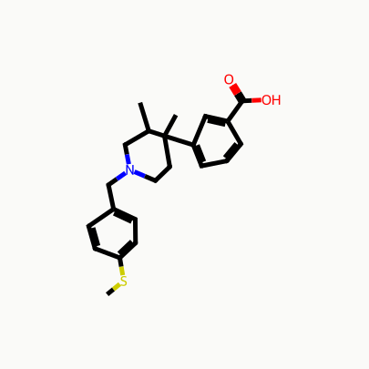 CSc1ccc(CN2CCC(C)(c3cccc(C(=O)O)c3)C(C)C2)cc1